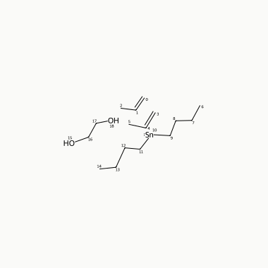 C=CC.C=CC.CCC[CH2][Sn][CH2]CCC.OCCO